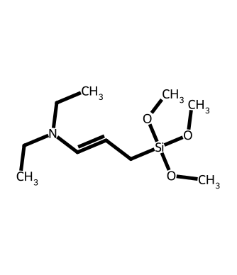 CCN(C=CC[Si](OC)(OC)OC)CC